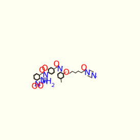 COc1cc(C(=O)N(C)c2ccc(C)cc2OCCCCCC(=O)N2CCN(C)CC2)ccc1NC(=O)c1cccc([N+](=O)[O-])c1N